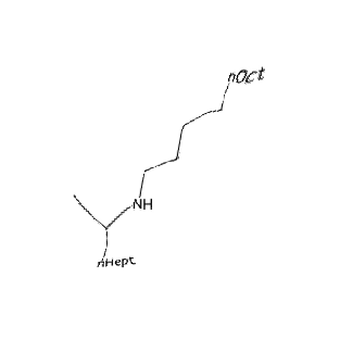 CCCCCCCCCCCCNC(C)CCCCCCC